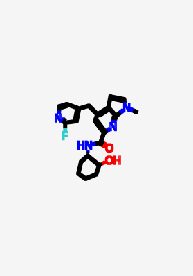 Cn1ccc2c(Cc3ccnc(F)c3)cc(C(=O)N[C@H]3CCCC[C@@H]3O)nc21